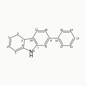 C1=CCC2C(=C1)Nc1cc(-c3ccccc3)ccc12